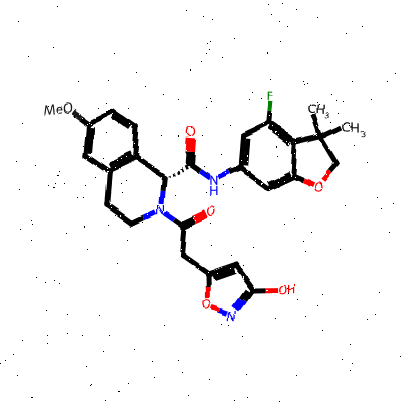 COc1ccc2c(c1)CCN(C(=O)Cc1cc(O)no1)[C@H]2C(=O)Nc1cc(F)c2c(c1)OCC2(C)C